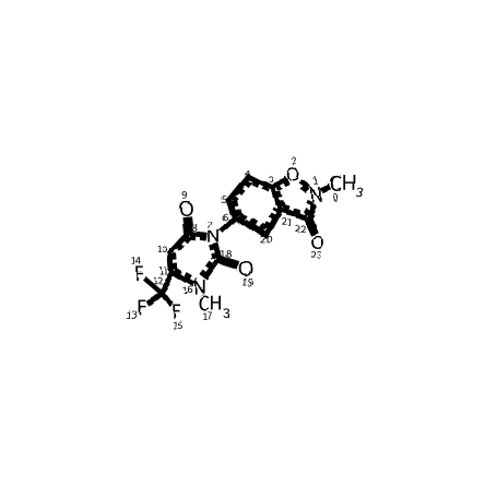 Cn1oc2ccc(-n3c(=O)cc(C(F)(F)F)n(C)c3=O)cc2c1=O